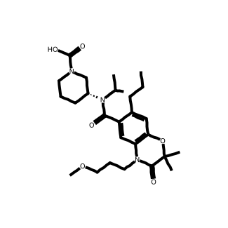 CCCc1cc2c(cc1C(=O)N(C(C)C)[C@@H]1CCCN(C(=O)O)C1)N(CCCOC)C(=O)C(C)(C)O2